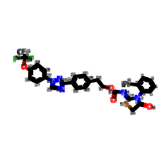 CC(C)c1ccccc1N1C(=O)CS/C1=N\C(=O)OCCc1ccc(-c2ncn(-c3ccc(OC(F)(F)C(F)(F)F)cc3)n2)cc1